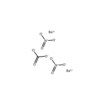 O=C([O-])[O-].O=[N+]([O-])[O-].O=[N+]([O-])[O-].[Ba+2].[Ba+2]